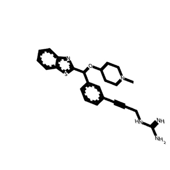 CN1CCC(OC(c2cccc(C#CCNC(=N)N)c2)c2nc3ccccc3s2)CC1